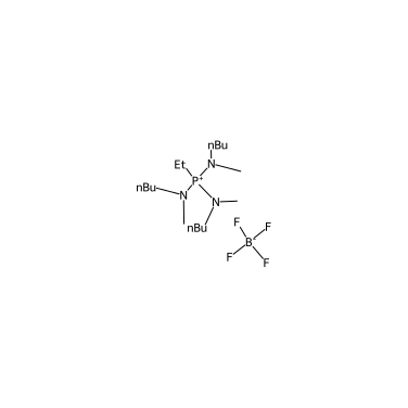 CCCCN(C)[P+](CC)(N(C)CCCC)N(C)CCCC.F[B-](F)(F)F